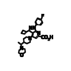 CC(C1CCN(c2cc(C(=O)O)nc3c2c(C2CCC2)nn3-c2ccc(F)cc2)CC1)N1CCOCC1